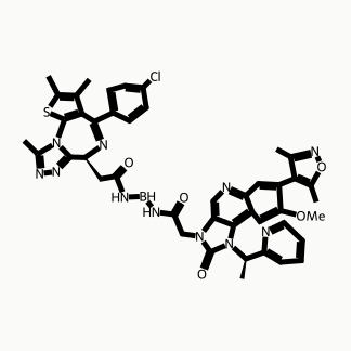 COc1cc2c(cc1-c1c(C)noc1C)ncc1c2n([C@H](C)c2ccccn2)c(=O)n1CC(=O)NBNC(=O)C[C@@H]1N=C(c2ccc(Cl)cc2)c2c(sc(C)c2C)-n2c(C)nnc21